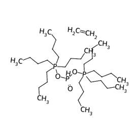 C=C.CCCCP(CCCC)(CCCC)(CCCC)O[PH](=O)OP(CCCC)(CCCC)(CCCC)CCCC